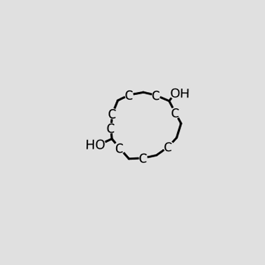 OC1CCCCCCCCC(O)CCCCCC1